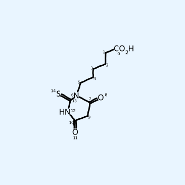 O=C(O)CCCCCN1C(=O)CC(=O)NC1=S